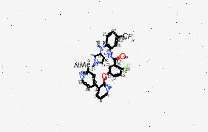 CNc1cc(-c2cccnc2Oc2ccc(F)c(C(=O)Nc3cc(C(F)(F)F)ccc3N(C)[C@H]3CCN(C)C3)c2)ccn1